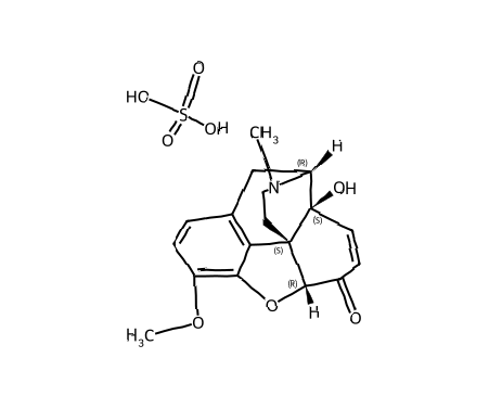 COc1ccc2c3c1O[C@H]1C(=O)C=C[C@@]4(O)[C@@H](C2)N(C)CC[C@]314.O=S(=O)(O)O